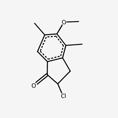 COc1c(C)cc2c(c1C)CC(Cl)C2=O